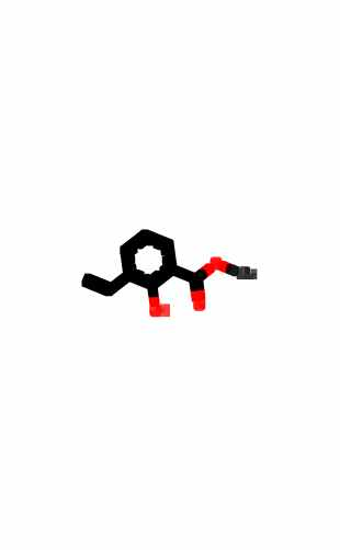 C=Cc1cccc(C(=O)OC(C)(C)C)c1O